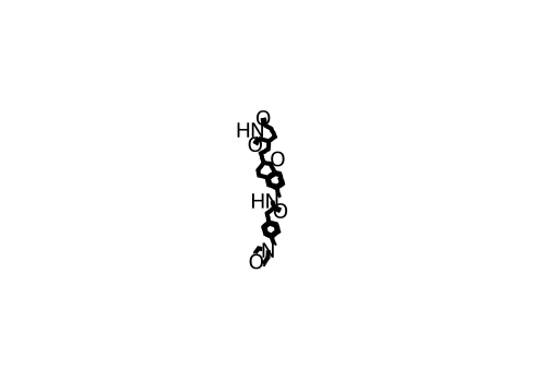 O=C(Cc1ccc(CN2CCOCC2)cc1)NCc1ccc2c(c1)CCC(CCC1CCC(=O)NC1=O)C2=O